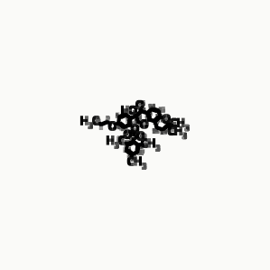 CCCOc1ccc(C2(O)COc3c(ccc4c3CCC(C)(C)O4)C2=O)c(OS(=O)(=O)c2c(C)cc(C)cc2C)c1